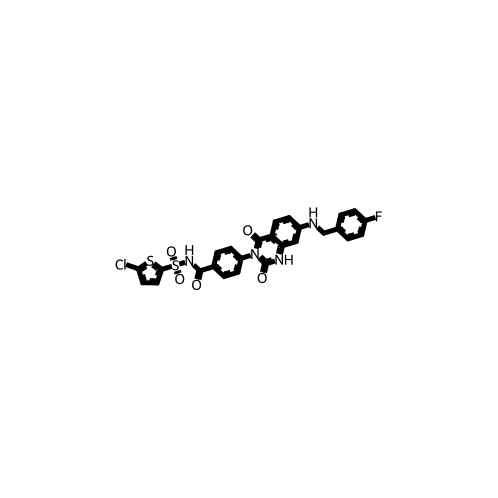 O=C(NS(=O)(=O)c1ccc(Cl)s1)c1ccc(-n2c(=O)[nH]c3cc(NCc4ccc(F)cc4)ccc3c2=O)cc1